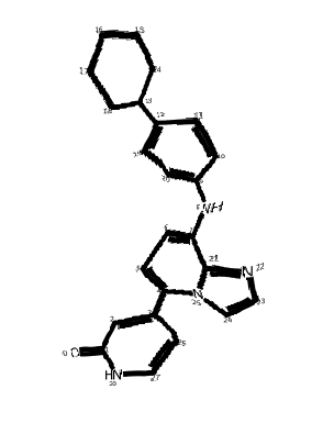 O=c1cc(-c2ccc(Nc3ccc(C4CCCCC4)cc3)c3nccn23)cc[nH]1